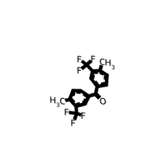 Cc1ccc(C(=O)c2ccc(C)c(C(F)(F)F)c2)cc1C(F)(F)F